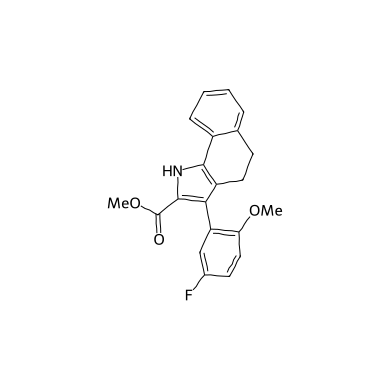 COC(=O)c1[nH]c2c(c1-c1cc(F)ccc1OC)CCc1ccccc1-2